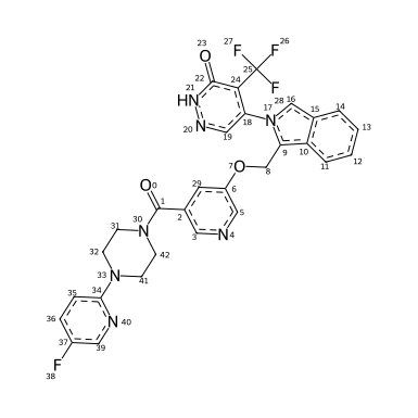 O=C(c1cncc(OCc2c3ccccc3cn2-c2cn[nH]c(=O)c2C(F)(F)F)c1)N1CCN(c2ccc(F)cn2)CC1